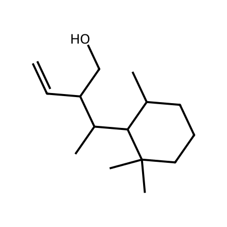 C=CC(CO)C(C)C1C(C)CCCC1(C)C